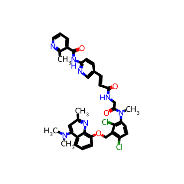 Cc1cc(N(C)C)c2cccc(OCc3c(Cl)ccc(N(C)C(=O)CNC(=O)C=Cc4ccc(NC(=O)c5cccnc5C)nc4)c3Cl)c2n1